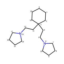 C1CCC(CCN2CCCC2)(CCN2CCCC2)CC1